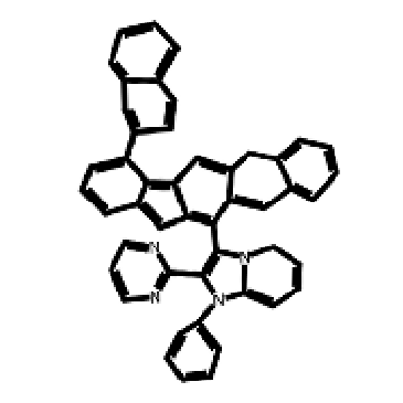 C1=CCN2C(=C1)N(c1ccccc1)C(c1ncccn1)=C2c1c2c(cc3c1=Cc1ccccc1C3)=c1c(-c3ccc4ccccc4c3)cccc1=C2